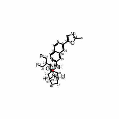 Cc1ncc(-c2ccc3cnc(NC(=O)N4[C@@H]5CC[C@H]4C[C@H](NC(CF)CF)C5)cc3c2)o1